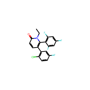 CCn1c(-c2c(F)cc(F)cc2F)c(-c2cc(F)ccc2Cl)ccc1=O